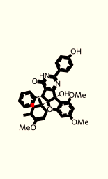 COC1=CCC(C)([C@@]23Oc4cc(OC)cc(OC)c4[C@]2(O)c2nc(-c4ccc(O)cc4)[nH]c(=O)c2[C@H]3c2ccccc2)CC1C